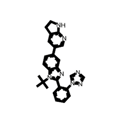 CC(C)(C)n1c(-c2ccccc2-n2cncn2)nc2cc(-c3cnc4c(c3)CCN4)ccc21